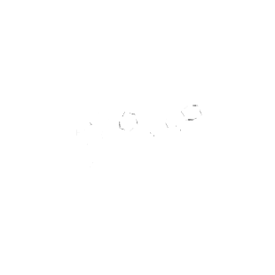 CCCCCCCN(CC(=O)N1CCOc2ccccc21)Cc1ccc(C(C)C(OCC)C(=O)O)cc1